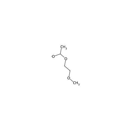 COCCOC(C)[O]